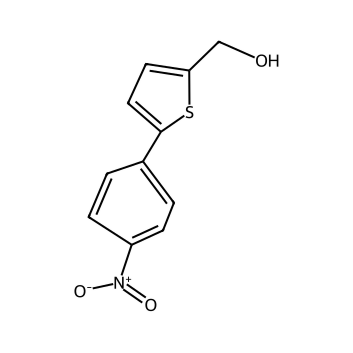 O=[N+]([O-])c1ccc(-c2ccc(CO)s2)cc1